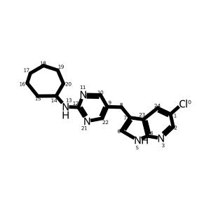 Clc1cnc2[nH]cc(Cc3cnc(NC4CCCCCC4)nc3)c2c1